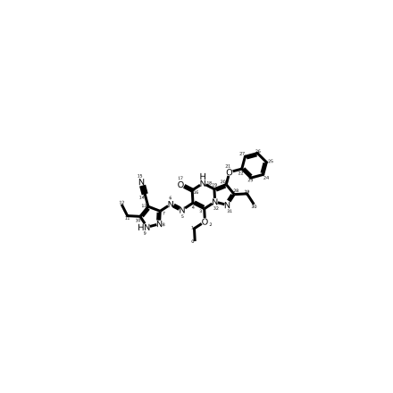 CCOc1c(/N=N/c2n[nH]c(CC)c2C#N)c(=O)[nH]c2c(Oc3ccccc3)c(CC)nn12